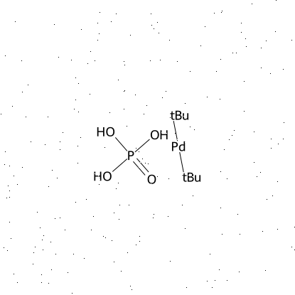 C[C](C)(C)[Pd][C](C)(C)C.O=P(O)(O)O